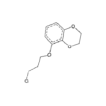 ClCCCOc1cccc2c1OCCO2